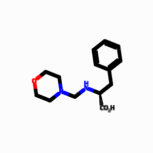 O=C(O)[C@H](Cc1ccccc1)NCN1CCOCC1